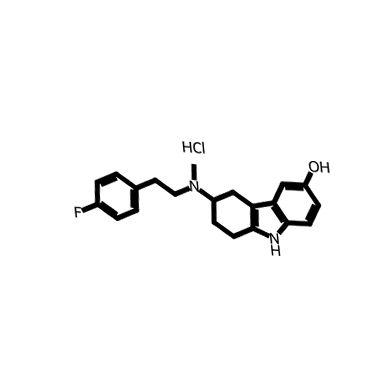 CN(CCc1ccc(F)cc1)C1CCc2[nH]c3ccc(O)cc3c2C1.Cl